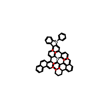 c1ccc(-n2c3ccccc3c3ccc(-c4ccccc4N(c4ccccc4-c4cccc5c4ccc4ccccc45)c4ccccc4-c4cccc5cccc(C6CCCCC6)c45)cc32)cc1